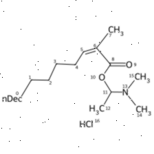 CCCCCCCCCCCCCCC=C(C)C(=O)OC(C)N(C)C.Cl